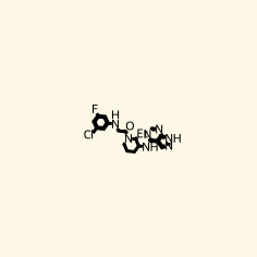 CCC1C(Nc2ncnc3[nH]ncc23)CCCN1C(=O)CNc1cc(F)cc(Cl)c1